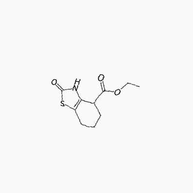 CCOC(=O)C1CCCc2sc(=O)[nH]c21